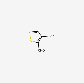 CC(=O)c1ccsc1[C]=O